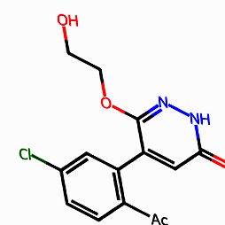 CC(=O)c1ccc(Cl)cc1-c1cc(=O)[nH]nc1OCCO